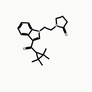 CC1(C)C(C(=O)c2cn(CCN3CCCC3=O)c3ccccc23)C1(C)C